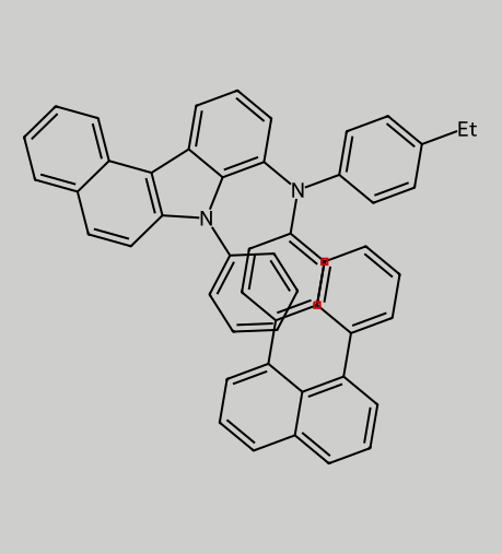 CCc1ccc(N(c2ccc(-c3cccc4cccc(-c5ccccc5)c34)cc2)c2cccc3c4c5ccccc5ccc4n(-c4ccccc4)c23)cc1